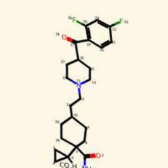 NC(=O)C1(C2(C(=O)O)CC2)CCC(CCN2CCC(C(=O)c3ccc(F)cc3F)CC2)CC1